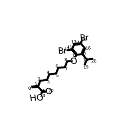 C=C(CCCCCCCOc1c(Br)cc(Br)cc1C(C)C)C(=O)O